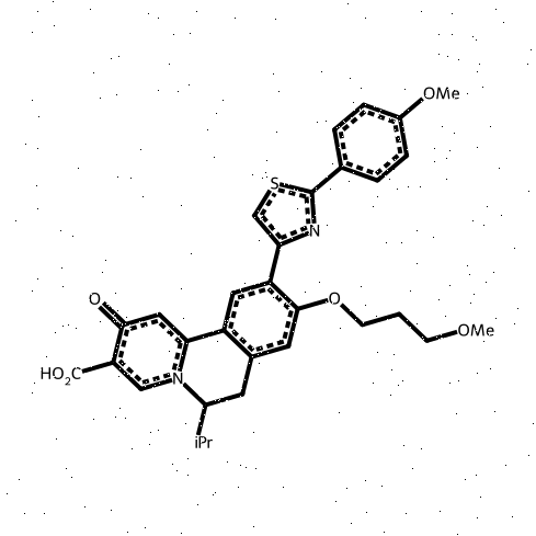 COCCCOc1cc2c(cc1-c1csc(-c3ccc(OC)cc3)n1)-c1cc(=O)c(C(=O)O)cn1C(C(C)C)C2